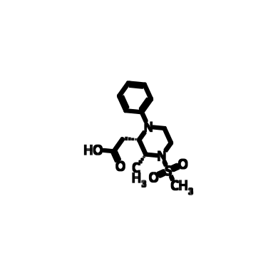 C[C@@H]1[C@H](CC(=O)O)N(c2ccccc2)CCN1S(C)(=O)=O